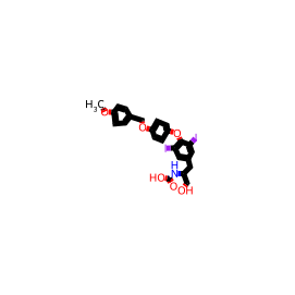 COc1ccc(COc2ccc(Oc3c(I)cc(CC(CO)NC(=O)O)cc3I)cc2)cc1